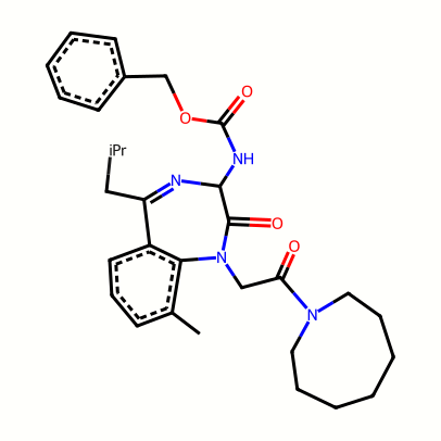 Cc1cccc2c1N(CC(=O)N1CCCCCCC1)C(=O)C(NC(=O)OCc1ccccc1)N=C2CC(C)C